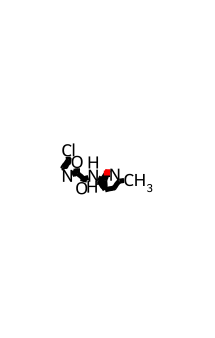 CC1CC2CCN1C[C@@H]2NC(=O)c1ncc(Cl)o1